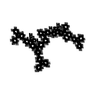 CC1(C)c2cc(-c3ccc4c5ccccc5n(-c5ccccc5)c4c3)ccc2-c2ccc(N(c3ccc(-c4cccc(-n5c6ccccc6c6ccc(-c7ccc8c(c7)C(C)(C)c7cc(N(c9ccccc9)c9ccc(-c%10ccc%11c(c%10)c%10ccccc%10n%11-c%10ccccc%10)c%10ccccc9%10)ccc7-8)cc65)c4)cc3)c3ccc(-c4ccc5c(c4)c4ccccc4n5-c4ccccc4)cc3)cc21